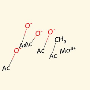 CC(=O)[O-].CC(=O)[O-].CC(=O)[O-].CC(=O)[O-].CC(C)=O.[Mo+4]